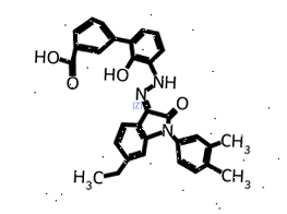 CCc1ccc2c(c1)N(c1ccc(C)c(C)c1)C(=O)/C2=N\Nc1cccc(-c2cccc(C(=O)O)c2)c1O